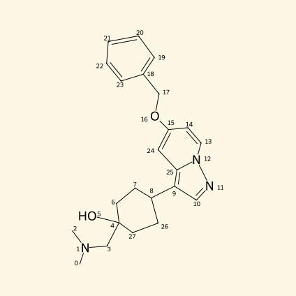 CN(C)CC1(O)CCC(c2cnn3ccc(OCc4ccccc4)cc23)CC1